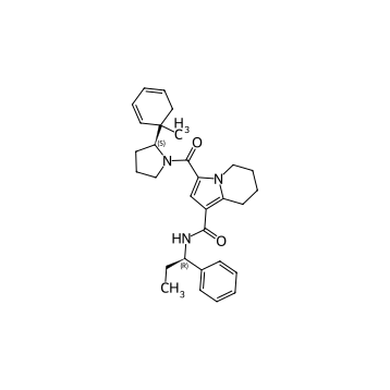 CC[C@@H](NC(=O)c1cc(C(=O)N2CCC[C@H]2C2(C)C=CC=CC2)n2c1CCCC2)c1ccccc1